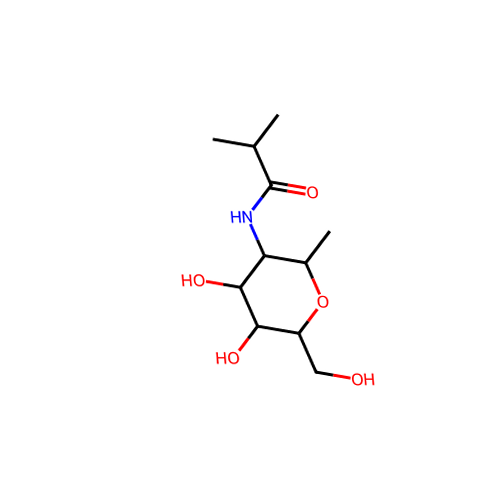 CC(C)C(=O)NC1C(C)OC(CO)C(O)C1O